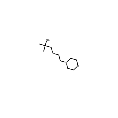 CC(C)(C)C(C)(C)COCCN1CCOCC1